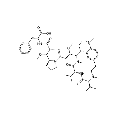 CC[C@H](C)[C@@H]([C@@H](CC(=O)N1CCC[C@H]1[C@H](OC)[C@@H](C)C(=O)N[C@@H](Cc1ccccc1)C(=O)O)OC)N(C)C(=O)[C@@H](NC(=O)[C@H](C(C)C)N(C)CCc1ccc(N(C)C)cc1)C(C)C